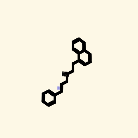 C(=C\c1ccccc1)/CNCCc1cccc2ccccc12